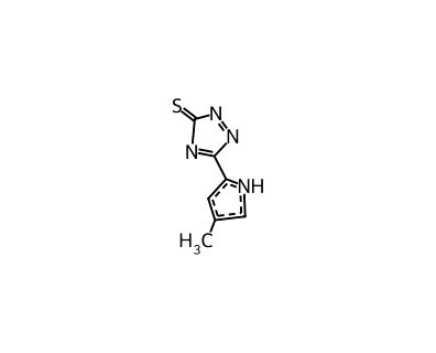 Cc1c[nH]c(C2=NC(=S)N=N2)c1